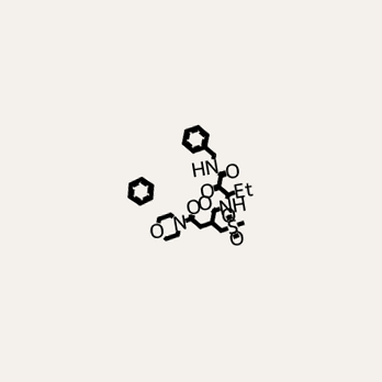 CCC(NC(=O)C(CC(=O)N1CCOCC1)CS(C)(=O)=O)C(=O)C(=O)NCc1ccccc1.c1ccccc1